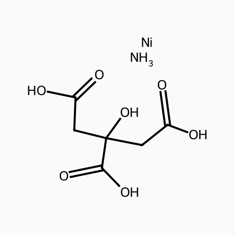 N.O=C(O)CC(O)(CC(=O)O)C(=O)O.[Ni]